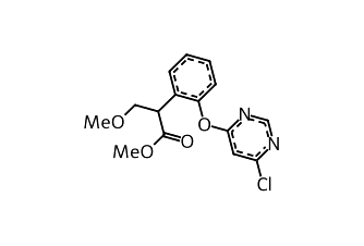 COCC(C(=O)OC)c1ccccc1Oc1cc(Cl)ncn1